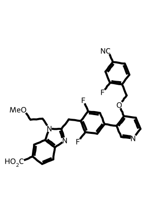 COCCn1c(Cc2c(F)cc(-c3cnccc3OCc3ccc(C#N)cc3F)cc2F)nc2ccc(C(=O)O)cc21